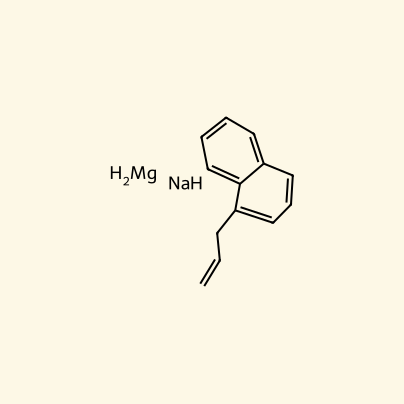 C=CCc1cccc2ccccc12.[MgH2].[NaH]